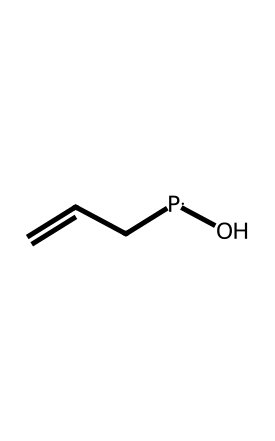 C=CC[P]O